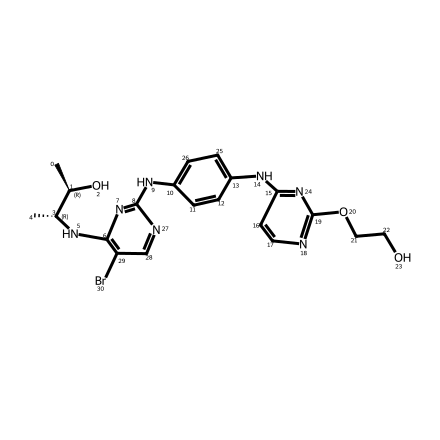 C[C@@H](O)[C@@H](C)Nc1nc(Nc2ccc(Nc3ccnc(OCCO)n3)cc2)ncc1Br